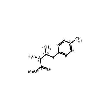 COC(=O)[C@@H](C)[C@@H](C)Cc1ccc(C)cc1